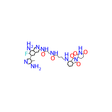 Cc1c(N)cncc1-c1cc2cc(NC(=O)CCNC(=O)CCCCNc3cccc4c3C(=O)N(C3CCC(=O)NC3=O)C4=O)ncc2c(N)c1F